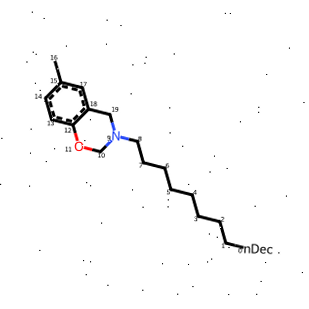 CCCCCCCCCCCCCCCCCCN1COc2ccc(C)cc2C1